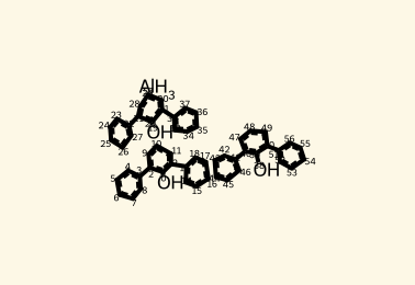 Oc1c(-c2ccccc2)cccc1-c1ccccc1.Oc1c(-c2ccccc2)cccc1-c1ccccc1.Oc1c(-c2ccccc2)cccc1-c1ccccc1.[AlH3]